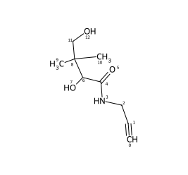 C#CCNC(=O)C(O)C(C)(C)CO